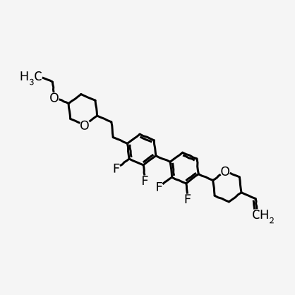 C=CC1CCC(c2ccc(-c3ccc(CCC4CCC(OCC)CO4)c(F)c3F)c(F)c2F)OC1